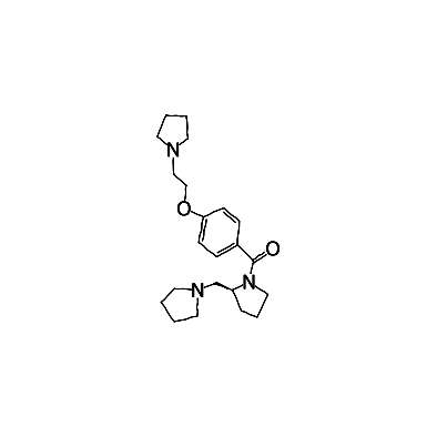 O=C(c1ccc(OCCN2CCCC2)cc1)N1CCC[C@H]1CN1CCCC1